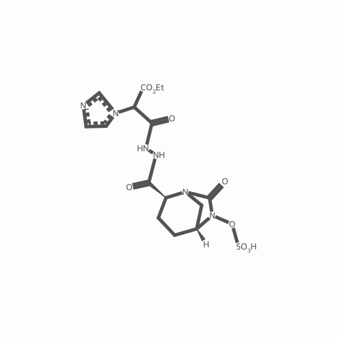 CCOC(=O)C(C(=O)NNC(=O)[C@@H]1CC[C@@H]2CN1C(=O)N2OS(=O)(=O)O)n1ccnc1